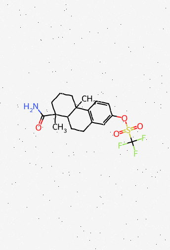 CC1(C(N)=O)CCCC2(C)c3ccc(OS(=O)(=O)C(F)(F)F)cc3CCC12